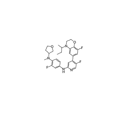 CCC(C)N1CCOc2c(F)cc(-c3cc(Nc4ccc(N(C)C5CCOC5)c(F)c4)ncc3F)cc21